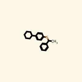 CC(Sc1ccc(C2CCCCC2)cc1)c1ccccc1